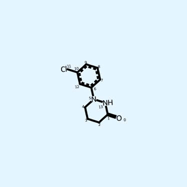 O=C1CCCN(c2cccc(Cl)c2)N1